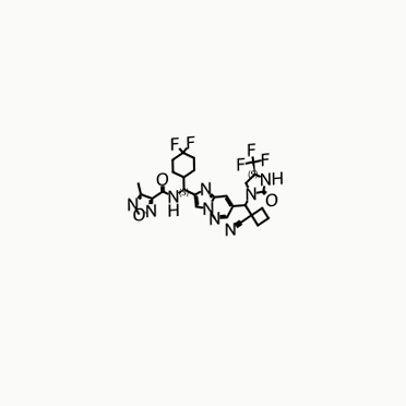 Cc1nonc1C(=O)N[C@H](c1cn2ncc(C(N3C[C@@H](C(F)(F)F)NC3=O)C3(C#N)CCC3)cc2n1)C1CCC(F)(F)CC1